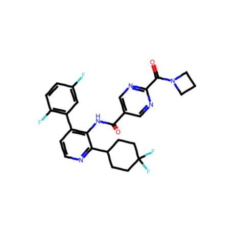 O=C(Nc1c(-c2cc(F)ccc2F)ccnc1C1CCC(F)(F)CC1)c1cnc(C(=O)N2CCC2)nc1